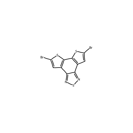 Brc1cc2c3nsnc3c3cc(Br)sc3c2s1